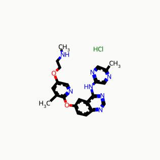 CNCCOc1cnc(Oc2ccc3ncnc(Nc4cnc(C)cn4)c3c2)c(C)c1.Cl